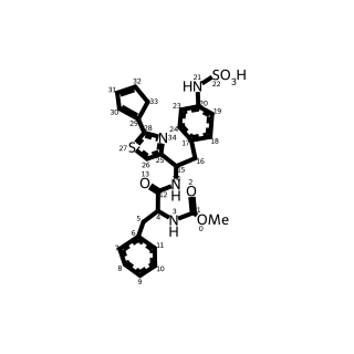 COC(=O)NC(Cc1ccccc1)C(=O)NC(Cc1ccc(NS(=O)(=O)O)cc1)c1csc(C2=CC=CC2)n1